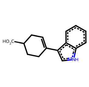 O=C(O)C1CC=C(c2c[nH]c3ccccc23)CC1